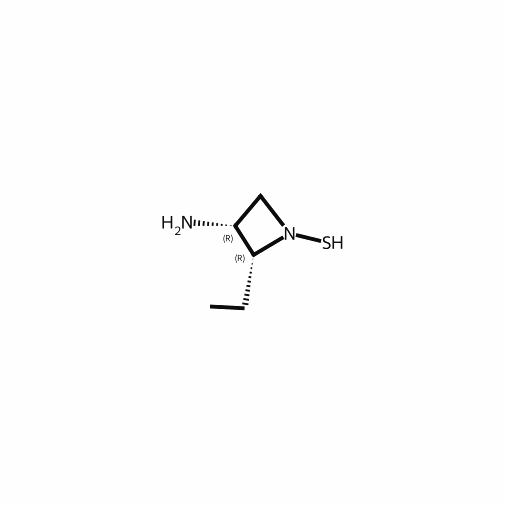 CC[C@@H]1[C@H](N)CN1S